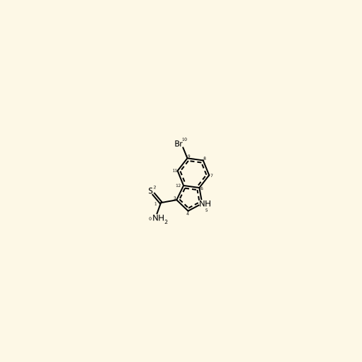 NC(=S)c1c[nH]c2ccc(Br)cc12